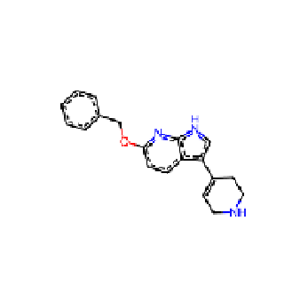 C1=C(c2c[nH]c3nc(OCc4ccccc4)ccc23)CCNC1